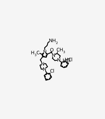 Cc1c(CN2CCN(c3ccccc3Cl)CC2)cc(C(=O)N2CCN(c3ccccc3)C[C@@H]2C)n1CCCN.Cl.Cl